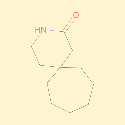 O=C1CC2(CCCCCC2)CCN1